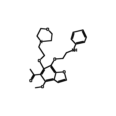 COc1c(C(C)=O)c(OCCN2CCOCC2)c(OCCNc2ccccc2)c2occc12